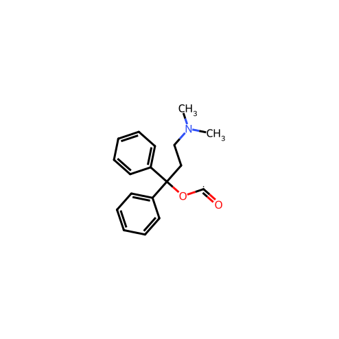 CN(C)CCC(O[C]=O)(c1ccccc1)c1ccccc1